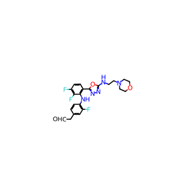 O=CCc1ccc(Nc2c(-c3nnc(NCCN4CCOCC4)o3)ccc(F)c2F)c(F)c1